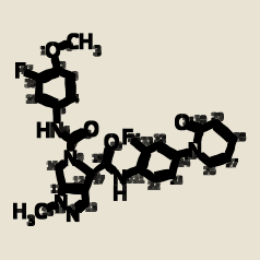 COc1ccc(NC(=O)N2Cc3c(cnn3C)[C@@H]2C(=O)Nc2ccc(-n3ccccc3=O)cc2F)cc1F